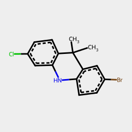 CC1(C)c2ccc(Cl)cc2Nc2ccc(Br)cc21